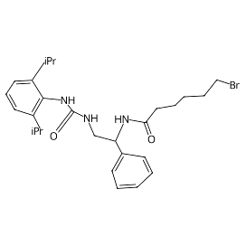 CC(C)c1cccc(C(C)C)c1NC(=O)NCC(NC(=O)CCCCCBr)c1ccccc1